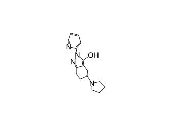 Oc1c2c(nn1-c1ccccn1)CCC(N1CCCC1)C2